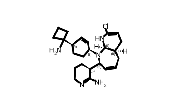 NC1=NCCC[C@H]1[C@@H]1C=CC[C@@H]2CC=C(Cl)N[C@@H]2N1[C@@H]1C=C[C@H](C2(N)CCC2)CC1